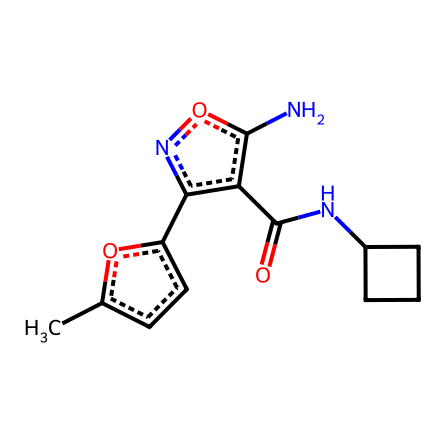 Cc1ccc(-c2noc(N)c2C(=O)NC2CCC2)o1